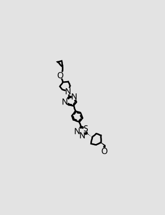 O=C[C@H]1CC[C@H](c2nnc(-c3ccc(-c4cnc(N5CCC(OCC6CC6)CC5)nc4)cc3)s2)CC1